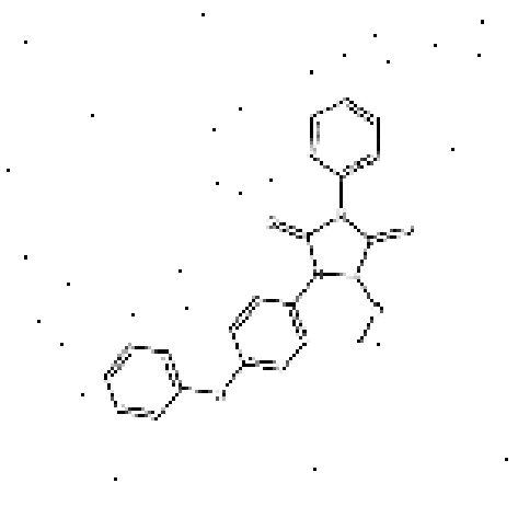 COC1C(=O)N(c2ccccc2)C(=S)N1c1ccc(Oc2ccccc2)cc1